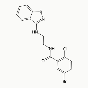 O=C(NCCNc1nsc2ccccc12)c1cc(Br)ccc1Cl